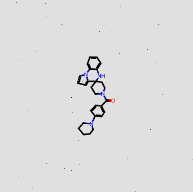 O=C(c1ccc(N2CCCCC2)cc1)N1CCC2(CC1)Nc1ccccc1-n1cccc12